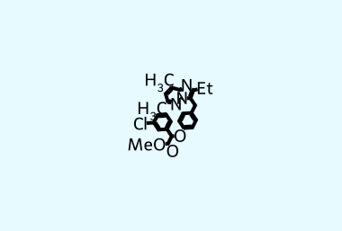 CCc1nc2c(C)cc(C)nn2c1Cc1ccc(OC(C(=O)OC)c2cccc(Cl)c2)cc1